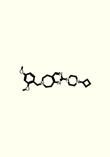 COc1ccc(CN2CCc3cnc(N4CCN(C5CCC5)CC4)nc3CC2)c(OC)c1